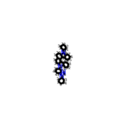 c1ccc(-n2cnc3c(-n4c5ccccc5c5c6c(ccc7c6c6ccccc6n7-c6ccccc6)ccc54)cccc32)cc1